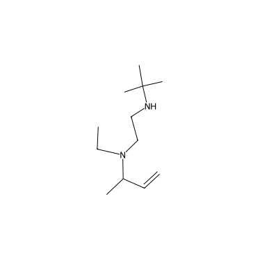 C=CC(C)N(CC)CCNC(C)(C)C